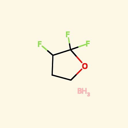 B.FC1CCOC1(F)F